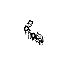 C[C@H]1CCCN1Cc1cccc(F)c1CNc1cc(F)c(S(=O)(=O)Nc2cscn2)c(F)c1